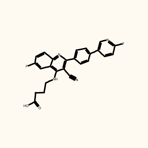 N#Cc1c(-c2ccc(-c3ccc(F)nc3)cc2)nc2ccc(F)cc2c1NCCCC(=O)O